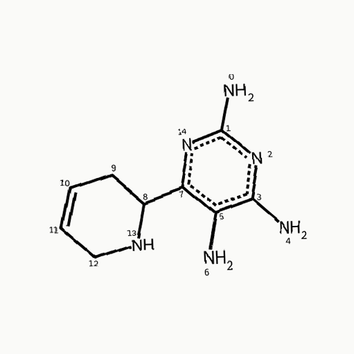 Nc1nc(N)c(N)c(C2CC=CCN2)n1